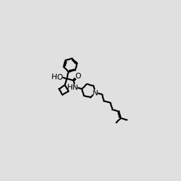 CC(C)=CCCCCN1CCC(NC(=O)C(O)(c2ccccc2)C2CCC2)CC1